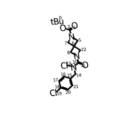 CC(C)(C)OC(=O)N1CC2(C1)CN(C(=O)N(Cl)Cc1ccc(Cl)cc1)C2